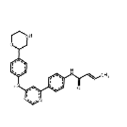 CC=CC(=O)Nc1ccc(-c2cc(Nc3ccc(C4CNCCO4)cc3)ncn2)cc1